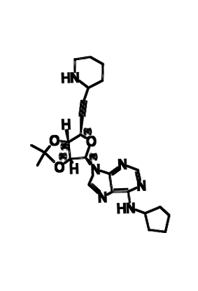 CC1(C)O[C@@H]2[C@H](O1)[C@@H](C#CC1CCCCN1)O[C@H]2n1cnc2c(NC3CCCC3)ncnc21